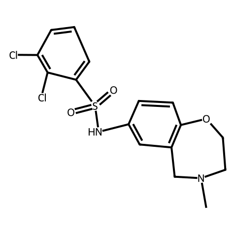 CN1CCOc2ccc(NS(=O)(=O)c3cccc(Cl)c3Cl)cc2C1